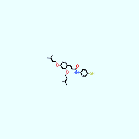 CC(C)=CCOc1ccc(/C=C/C(=O)Nc2ccc(S)cc2)c(OCC=C(C)C)c1